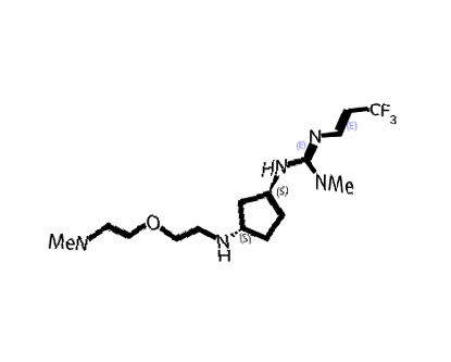 CNCCOCCN[C@H]1CC[C@H](N/C(=N/C=C/C(F)(F)F)NC)C1